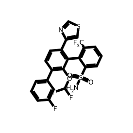 NS(=O)(=O)c1cccc(C(F)(F)F)c1-c1c(-c2cscn2)ccc(-c2cccc(F)c2)c1OC(F)F